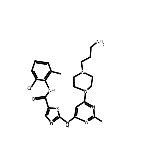 Cc1nc(Nc2ncc(C(=O)Nc3c(C)cccc3Cl)s2)cc(N2CCN(CCCN)CC2)n1